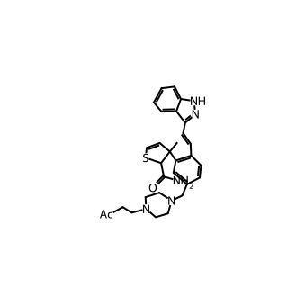 CC(=O)CCN1CCN(Cc2ccc(/C=C/c3n[nH]c4ccccc34)c(C3(C)C=CSC3C(N)=O)c2)CC1